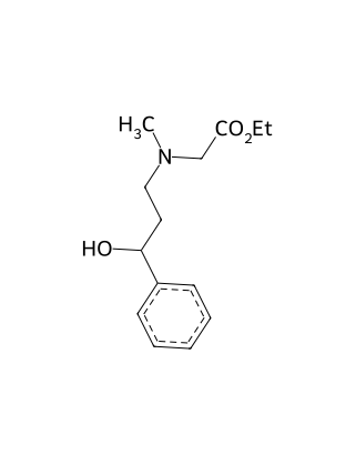 CCOC(=O)CN(C)CCC(O)c1ccccc1